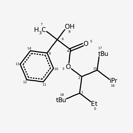 CCC(C(OC(=O)C(C)(O)c1ccccc1)C(C(C)C)C(C)(C)C)C(C)(C)C